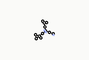 c1cncc(-c2ccc(-c3cc(-c4ccc(-c5cc6ccccc6c6ccccc56)cc4)nc(-c4ccc(-c5cc6c7ccccc7c7ccccc7c6c6ccccc56)cc4)n3)cc2)c1